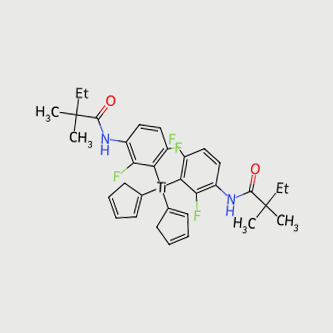 CCC(C)(C)C(=O)Nc1ccc(F)[c]([Ti]([C]2=CC=CC2)([C]2=CC=CC2)[c]2c(F)ccc(NC(=O)C(C)(C)CC)c2F)c1F